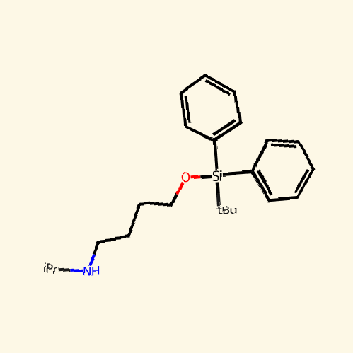 CC(C)NCCCCO[Si](c1ccccc1)(c1ccccc1)C(C)(C)C